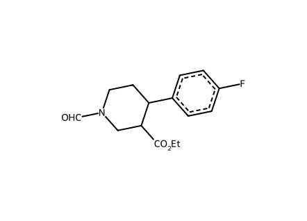 CCOC(=O)C1CN(C=O)CCC1c1ccc(F)cc1